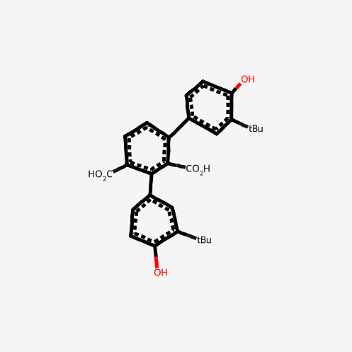 CC(C)(C)c1cc(-c2ccc(C(=O)O)c(-c3ccc(O)c(C(C)(C)C)c3)c2C(=O)O)ccc1O